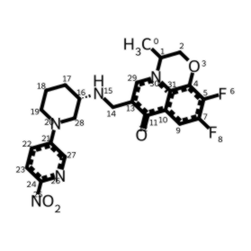 CC1COc2c(F)c(F)cc3c(=O)c(CN[C@H]4CCCN(c5ccc([N+](=O)[O-])nc5)C4)cn1c23